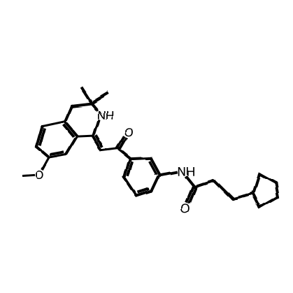 COc1ccc2c(c1)C(=CC(=O)c1cccc(NC(=O)CCC3CCCC3)c1)NC(C)(C)C2